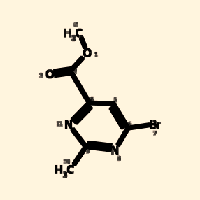 COC(=O)c1cc(Br)nc(C)n1